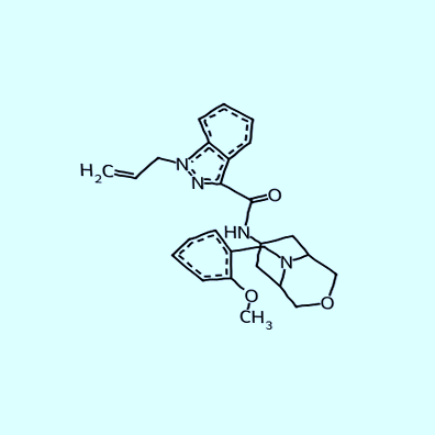 C=CCn1nc(C(=O)NC2CC3COCC(C2)N3Cc2ccccc2OC)c2ccccc21